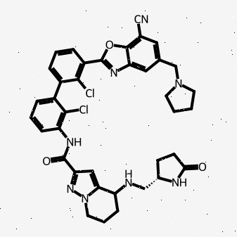 N#Cc1cc(CN2CCCC2)cc2nc(-c3cccc(-c4cccc(NC(=O)c5cc6n(n5)CCCC6NC[C@@H]5CCC(=O)N5)c4Cl)c3Cl)oc12